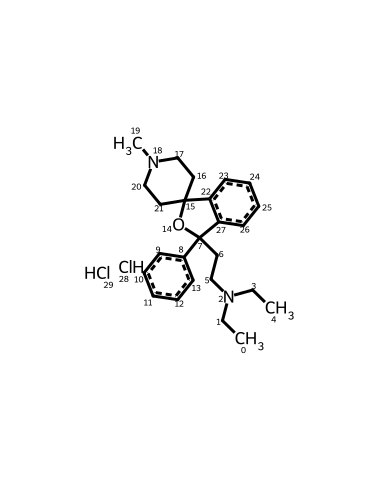 CCN(CC)CCC1(c2ccccc2)OC2(CCN(C)CC2)c2ccccc21.Cl.Cl